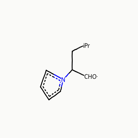 CC(C)CC([C]=O)n1cccc1